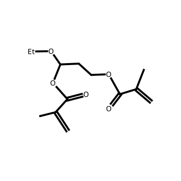 C=C(C)C(=O)OCCC(OCC)OC(=O)C(=C)C